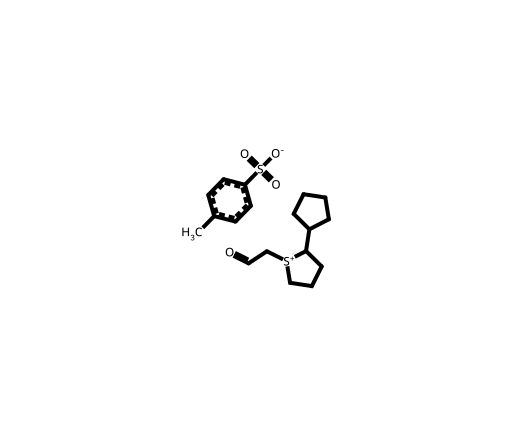 Cc1ccc(S(=O)(=O)[O-])cc1.O=CC[S+]1CCCC1C1CCCC1